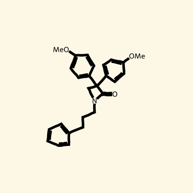 COc1ccc(C2(c3ccc(OC)cc3)CN(CCCc3ccccc3)C2=O)cc1